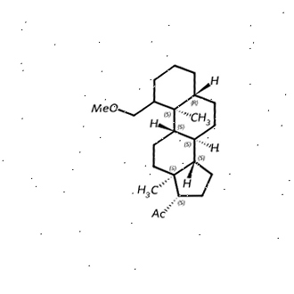 COCC1CCC[C@@H]2CC[C@H]3[C@@H]4CC[C@H](C(C)=O)[C@@]4(C)CC[C@@H]3[C@@]12C